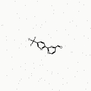 O=Cc1ccnc(-c2ccc(C(F)(F)F)cn2)n1